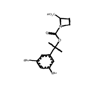 CC(C)(C)c1cc(C(C)(C)C)cc(C(C)(C)OC(=O)N2CCC2C(=O)O)c1